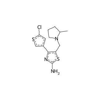 CC1CCCN1Cc1sc(N)nc1-c1csc(Cl)c1